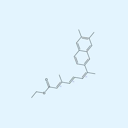 CCOC(=O)/C=C(C)/C=C/C=C(/C)c1ccc2cc(C)c(C)cc2c1